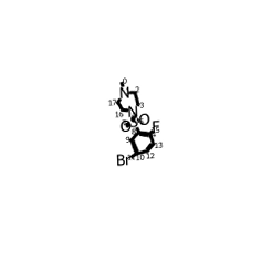 CN1CCN(S(=O)(=O)c2cc(Br)ccc2F)CC1